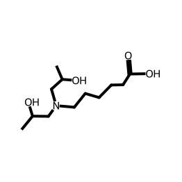 CC(O)CN(CCCCCC(=O)O)CC(C)O